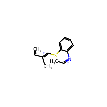 C=C/C(C)=C/Sc1ccccc1/N=C\C